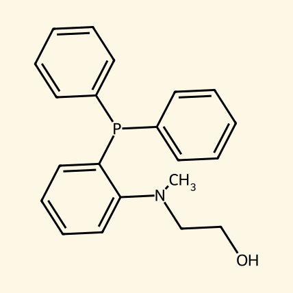 CN(CCO)c1ccccc1P(c1ccccc1)c1ccccc1